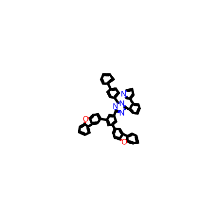 c1ccc(-c2ccc(-c3nc(-c4cc(-c5ccc6oc7ccccc7c6c5)cc(-c5ccc6oc7ccccc7c6c5)c4)nc(-c4ccccc4-c4cccnc4)n3)cc2)cc1